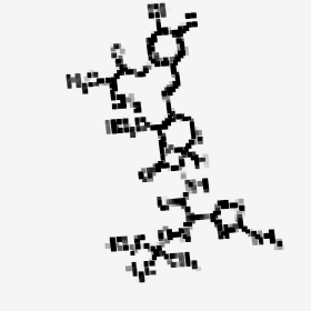 CN(C)C(=O)Cn1cc(O)c(=O)cc1C=CC1=C(C(=O)O)N2C(=O)[C@@H](NC(=O)/C(=N\OC(C)(C)C(=O)O)c3csc(N)n3)[C@H]2SC1